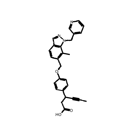 CC#CC(CC(=O)O)c1ccc(OCc2ccc3cnn(Cc4cccnc4)c3c2C)cc1